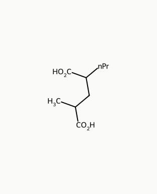 CCCC(CC(C)C(=O)O)C(=O)O